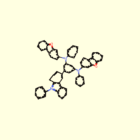 C1=CC(c2cc(N(c3ccccc3)c3ccc4c(c3)oc3ccccc34)cc(N(c3ccccc3)c3ccc4c(c3)oc3ccccc34)c2)=Cc2c(n(-c3ccccc3)c3ccccc23)C1